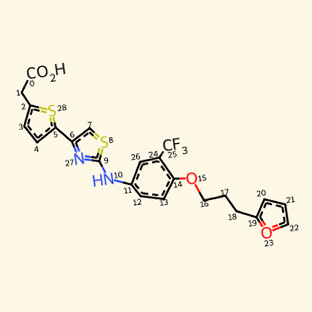 O=C(O)Cc1ccc(-c2csc(Nc3ccc(OCCCc4ccco4)c(C(F)(F)F)c3)n2)s1